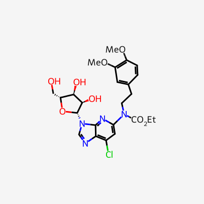 CCOC(=O)N(CCc1ccc(OC)c(OC)c1)c1cc(Cl)c2ncn([C@@H]3O[C@H](CO)[C@@H](O)[C@H]3O)c2n1